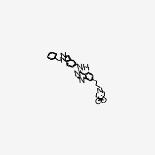 O=S1(=O)CCN(CCCc2ccc3c(Nc4ccc5c(cnn5Cc5ccccc5)c4)ncnc3c2)CC1